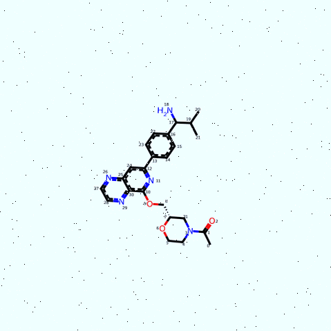 CC(=O)N1CCO[C@H](COc2nc(-c3ccc(C(N)C(C)C)cc3)cc3nccnc23)C1